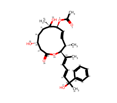 CC(=O)O[C@H]1/C=C/[C@H](C)[C@@H](/C(C)=C/C=C/C(C)(O)c2ccccc2)OC(=O)C[C@H](O)CC[C@@]1(C)O